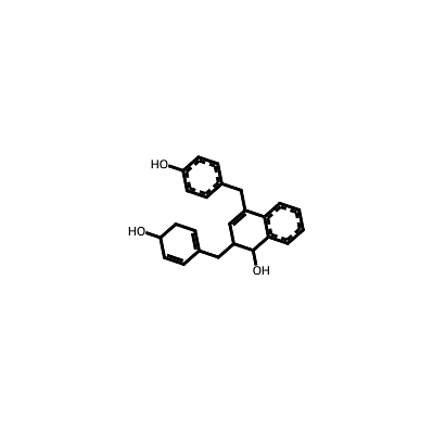 Oc1ccc(CC2=CC(CC3=CCC(O)C=C3)C(O)c3ccccc32)cc1